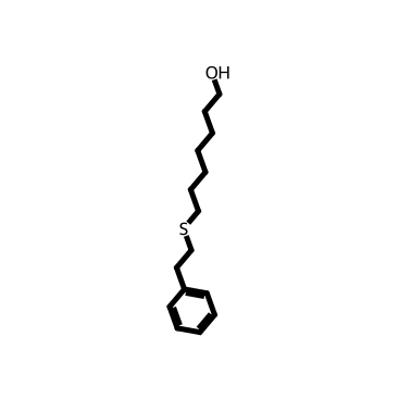 OCCCCCCCSCCc1ccccc1